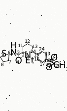 CCN1C(C(=O)NC2CCCS2)CCCC1c1ccc(S(C)(=O)=O)cc1